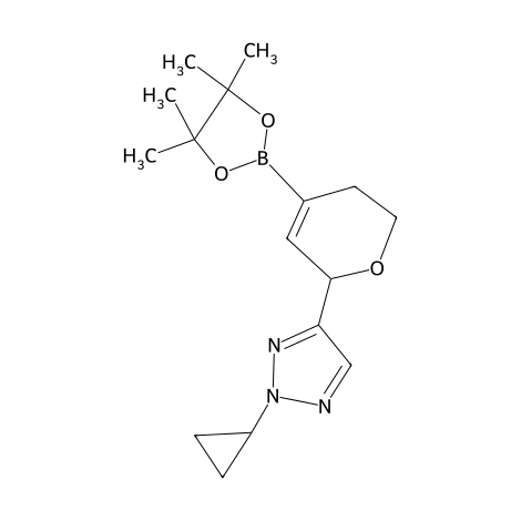 CC1(C)OB(C2=CC(c3cnn(C4CC4)n3)OCC2)OC1(C)C